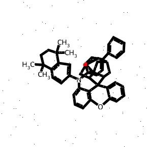 CC1(C)CCC(C)(C)c2cc(N(c3ccc(-c4ccccc4)cc3)c3cccc4c3C3(c5ccccc5O4)C4CC5CC6CC3C64C5)ccc21